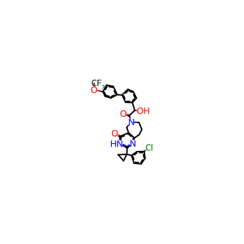 O=C(C(O)c1cccc(-c2ccc(OC(F)(F)F)cc2)c1)N1CCCc2nc(C3(c4cccc(Cl)c4)CC3)[nH]c(=O)c2C1